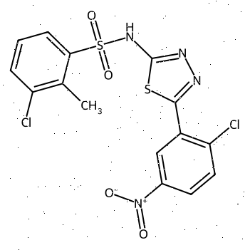 Cc1c(Cl)cccc1S(=O)(=O)Nc1nnc(-c2cc([N+](=O)[O-])ccc2Cl)s1